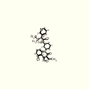 Cc1onc2c1c(=O)n(C1CCCC(NC(=O)C(c3cccnc3)N(C)C)C1)c1cccc(Cl)c21